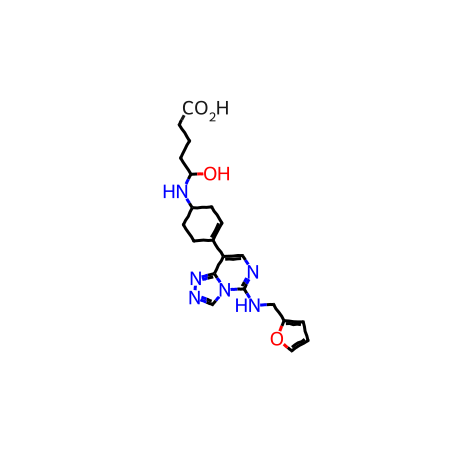 O=C(O)CCCC(O)NC1CC=C(c2cnc(NCc3ccco3)n3cnnc23)CC1